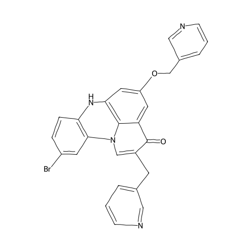 O=c1c(Cc2cccnc2)cn2c3c(cc(OCc4cccnc4)cc13)Nc1ccc(Br)cc1-2